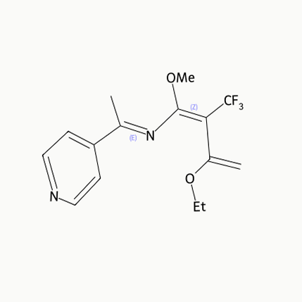 C=C(OCC)/C(=C(\N=C(/C)c1ccncc1)OC)C(F)(F)F